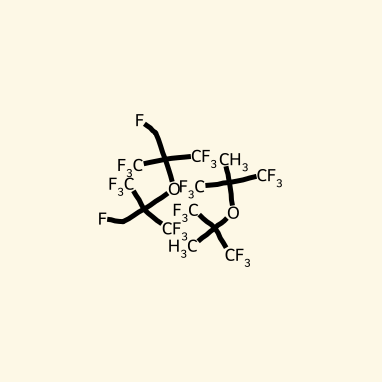 CC(OC(C)(C(F)(F)F)C(F)(F)F)(C(F)(F)F)C(F)(F)F.FCC(OC(CF)(C(F)(F)F)C(F)(F)F)(C(F)(F)F)C(F)(F)F